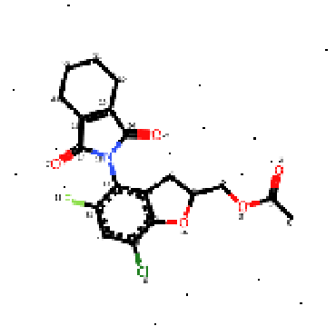 CC(=O)OCC1Cc2c(c(Cl)cc(F)c2N2C(=O)C3=C(CCCC3)C2=O)O1